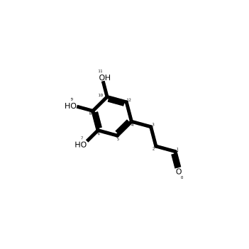 O=[C]CCc1cc(O)c(O)c(O)c1